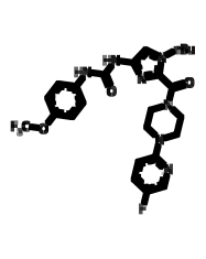 CCCCn1cc(NC(=O)Nc2ccc(OC(F)(F)F)cc2)nc1C(=O)N1CCN(c2ccc(F)cn2)CC1